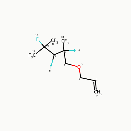 C=CCOCC(F)(C(F)C(F)(C(F)(F)F)C(F)(F)F)C(F)(F)F